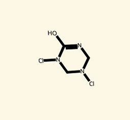 OC1=NCN(Cl)CN1Cl